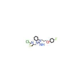 N=c1n(CCCOc2ccc(F)cc2)c2ccccc2n1Cc1csc(Cl)n1